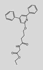 CCOC(=O)CNC(=O)CCCOc1cc(-c2ccccc2)cc(-c2ccccc2)n1